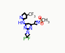 CS(=O)(=O)N1CC(c2cc(Nc3cc(C(F)(F)F)ccn3)nc(N3CC(F)(F)C3)n2)C1